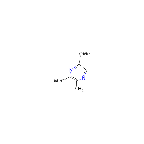 COc1cnc(C)c(OC)n1